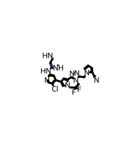 CN/C(=C\C=N)Nc1cc(-c2cc3n(c2)CC(F)(F)Cn2c(Cn4cccc4C#N)nnc2-3)c(Cl)cn1